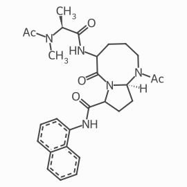 CC(=O)N(C)[C@@H](C)C(=O)NC1CCCN(C(C)=O)[C@H]2CCC(C(=O)Nc3cccc4ccccc34)N2C1=O